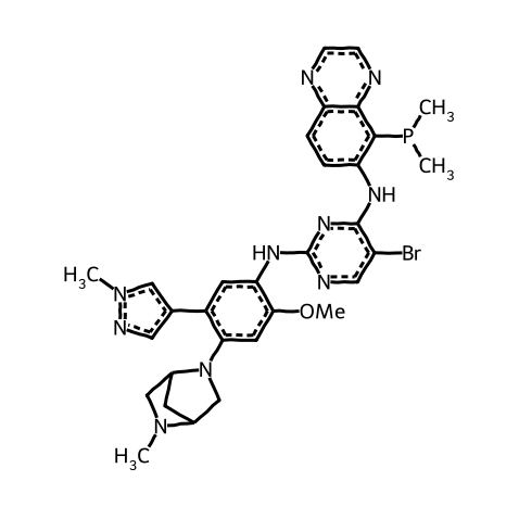 COc1cc(N2CC3CC2CN3C)c(-c2cnn(C)c2)cc1Nc1ncc(Br)c(Nc2ccc3nccnc3c2P(C)C)n1